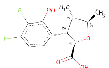 C[C@H]1[C@@H](c2ccc(F)c(F)c2O)[C@H](C(=O)O)O[C@@H]1C